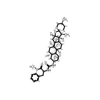 COC(=O)C(Cc1ccccc1)NC(=O)N[C@@H]1CC[C@@]2(C)[C@H](CC[C@@H]3[C@@H]2CC[C@]2(C)[C@@H]4[C@H](C[C@@H]32)O[C@]2(CC[C@H](C)CO2)[C@H]4C)C1